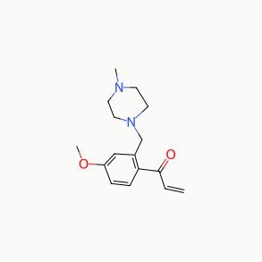 C=CC(=O)c1ccc(OC)cc1CN1CCN(C)CC1